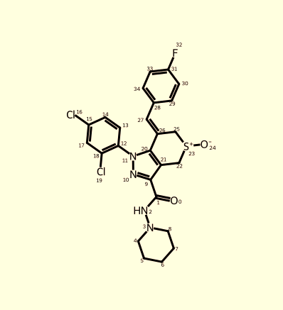 O=C(NN1CCCCC1)c1nn(-c2ccc(Cl)cc2Cl)c2c1C[S+]([O-])C/C2=C\c1ccc(F)cc1